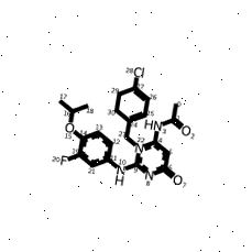 CC(=O)Nc1cc(=O)nc(Nc2ccc(OC(C)C)c(F)c2)n1CC1=CC=C(Cl)CC1